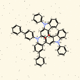 c1ccc(-c2ccc(N(c3ccc4c5ccccc5n(-c5ccccc5)c4c3)c3ccc(-c4ccccc4)cc3-c3ccc4c5ccccc5n(-c5ccccc5)c4c3)cc2)cc1